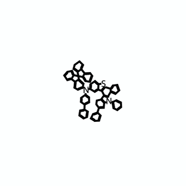 C1=C(c2ccccc2)CCc2c1n(-c1ccccc1)c1c3ccccc3c3sc4ccc(N(c5ccc(-c6ccccc6)cc5)c5ccc6c(c5)C5(C7=CCCC=C7c7ccccc75)c5ccccc5-6)cc4c3c21